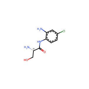 Nc1cc(Cl)c[c]c1NC(=O)[C@@H](N)CO